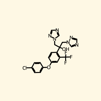 OC(Cn1cncn1)(Cn1cncn1)c1ccc(Oc2ccc(Cl)cc2)cc1C(F)(F)F